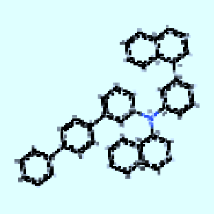 c1ccc(-c2ccc(-c3cccc(N(c4cccc(-c5cccc6ccccc56)c4)c4cccc5ccccc45)c3)cc2)cc1